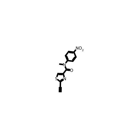 C#Cc1nc(C(=O)N(C)c2ccc([N+](=O)[O-])cc2)cs1